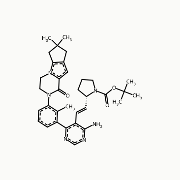 Cc1c(-c2ncnc(N)c2C=C[C@@H]2CCCN2C(=O)OC(C)(C)C)cccc1N1CCn2c(cc3c2CC(C)(C)C3)C1=O